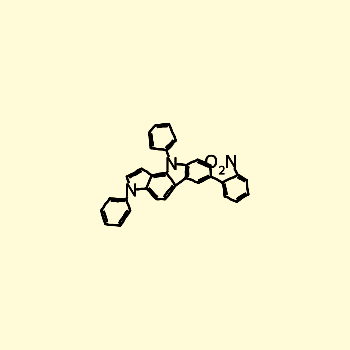 O=[N+]([O-])c1ccccc1-c1ccc2c(c1)c1ccc3c(ccn3-c3ccccc3)c1n2-c1ccccc1